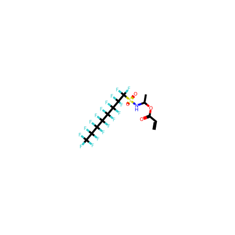 C=CC(=O)OC(C)NS(=O)(=O)C(F)(F)C(F)(F)C(F)(F)C(F)(F)C(F)(F)C(F)(F)C(F)(F)C(F)(F)F